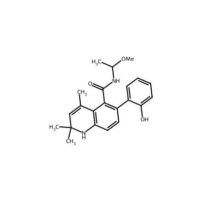 COC(C)NC(=O)c1c(-c2ccccc2O)ccc2c1C(C)=CC(C)(C)N2